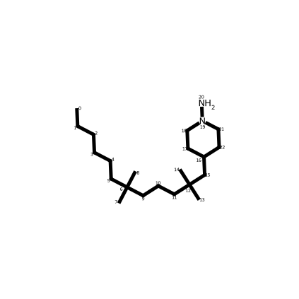 CCCCCCC(C)(C)CCCC(C)(C)CC1CCN(N)CC1